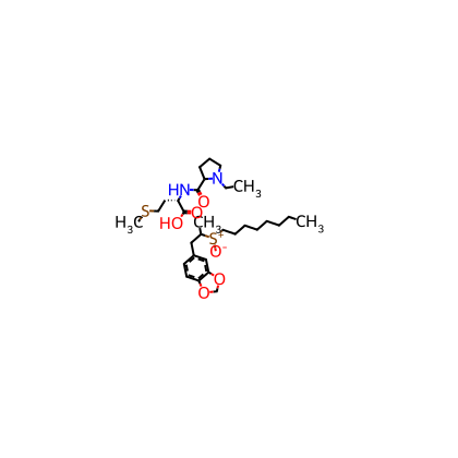 CCCCCCCC[S+]([O-])C(C)Cc1ccc2c(c1)OCO2.CCN1CCCC1C(=O)N[C@@H](CCSC)C(=O)O